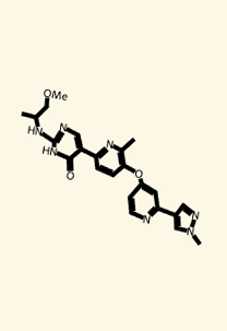 COCC(C)Nc1ncc(-c2ccc(Oc3ccnc(-c4cnn(C)c4)c3)c(C)n2)c(=O)[nH]1